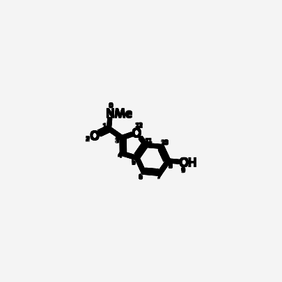 CNC(=O)c1cc2ccc(O)cc2o1